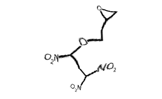 O=[N+]([O-])C(OCC1CO1)C([N+](=O)[O-])[N+](=O)[O-]